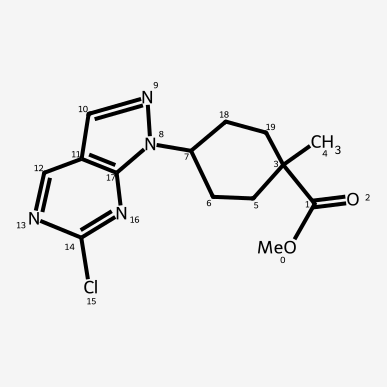 COC(=O)C1(C)CCC(n2ncc3cnc(Cl)nc32)CC1